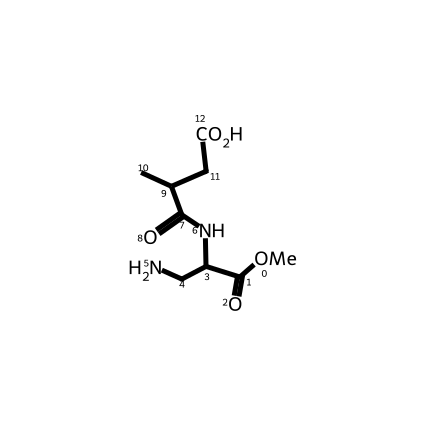 COC(=O)C(CN)NC(=O)C(C)CC(=O)O